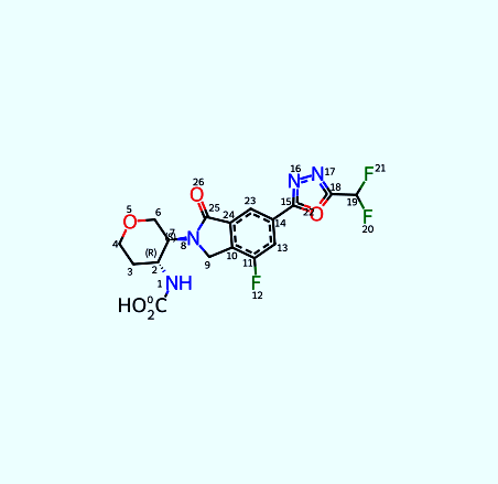 O=C(O)N[C@@H]1CCOC[C@H]1N1Cc2c(F)cc(-c3nnc(C(F)F)o3)cc2C1=O